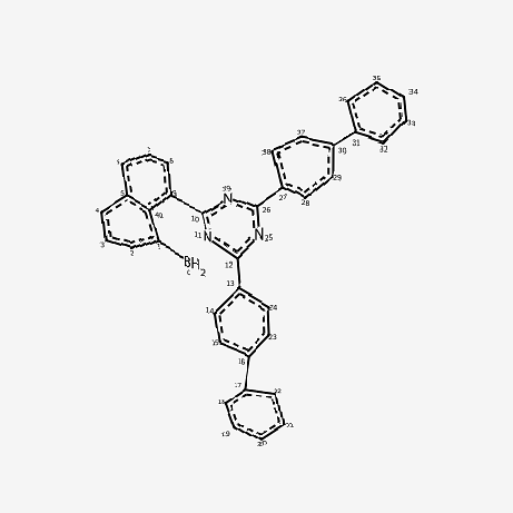 Bc1cccc2cccc(-c3nc(-c4ccc(-c5ccccc5)cc4)nc(-c4ccc(-c5ccccc5)cc4)n3)c12